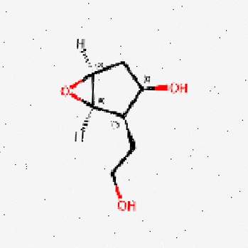 OCC[C@H]1[C@H]2O[C@H]2C[C@H]1O